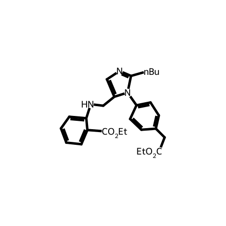 CCCCc1ncc(CNc2ccccc2C(=O)OCC)n1-c1ccc(CC(=O)OCC)cc1